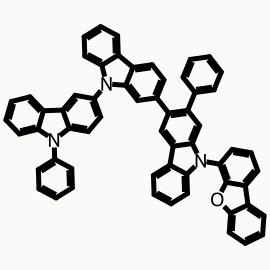 c1ccc(-c2cc3c(cc2-c2ccc4c5ccccc5n(-c5ccc6c(c5)c5ccccc5n6-c5ccccc5)c4c2)c2ccccc2n3-c2cccc3c2oc2ccccc23)cc1